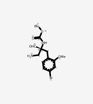 COc1cc(Br)ccc1C[C@](C=O)(CN)NC(=O)OC(C)(C)C